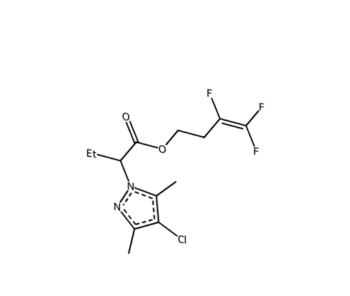 CCC(C(=O)OCCC(F)=C(F)F)n1nc(C)c(Cl)c1C